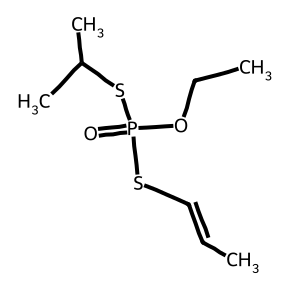 CC=CSP(=O)(OCC)SC(C)C